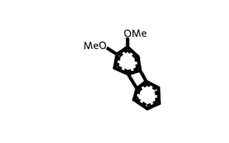 COc1cc2c(cc1OC)-c1ccccc1-2